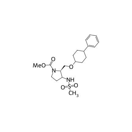 COC(=O)N1CCC(NS(C)(=O)=O)[C@@H]1COC1CCC(c2ccccc2)CC1